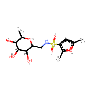 Cc1cc(S(=O)(=O)NCC2OC(C)C(O)C(O)C2O)c(C)o1